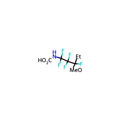 CCC(F)(OC)C(F)(F)C(F)(F)NC(=O)O